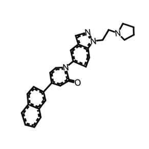 O=c1cc(-c2ccc3ccccc3c2)ccn1-c1ccc2c(cnn2CCN2CCCC2)c1